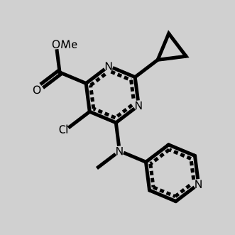 COC(=O)c1nc(C2CC2)nc(N(C)c2ccncc2)c1Cl